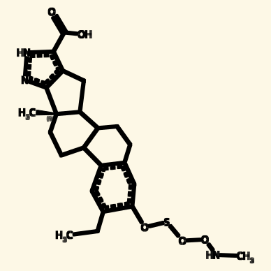 CCc1cc2c(cc1OSOONC)CCC1C2CC[C@]2(C)c3n[nH]c(C(=O)O)c3CC12